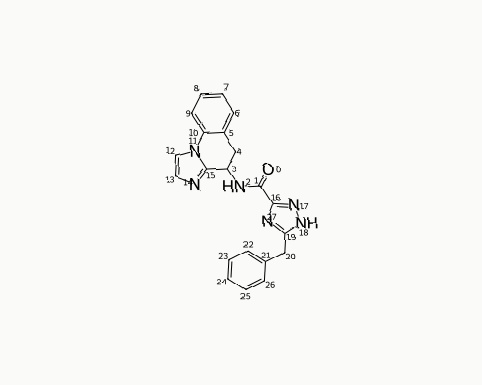 O=C(NC1Cc2ccccc2-n2ccnc21)c1n[nH]c(Cc2ccccc2)n1